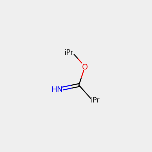 CC(C)OC(=N)C(C)C